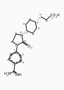 N=C(N)c1ccc(N2CCN([C@H]3CC[C@@H](CCC(=O)O)CC3)C2=O)cc1